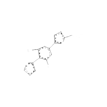 CCc1cc(-c2ccc(C(=O)O)s2)cc(C)c1-c1cccs1